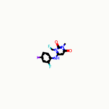 Cn1c(=O)cc(Nc2ccc(I)cc2F)n(CF)c1=O